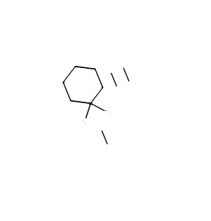 CC(=O)O.CC(=O)O.CC(=O)O.NC1(N)CCCCC1